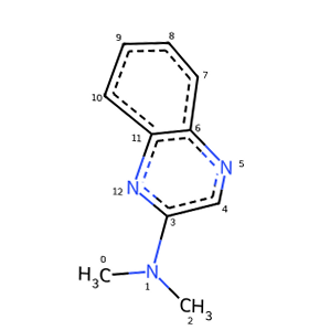 CN(C)c1cnc2ccccc2n1